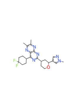 Cc1nc2nc(C3CCOC(c4cnn(C)c4)C3)nc(C3CCC(F)(F)CC3)c2nc1C